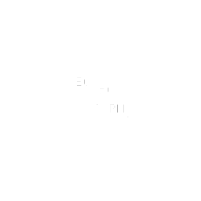 CCC1CCCC1(P)CC